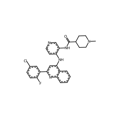 CN1CCC(C(=O)Nc2cnccc2Nc2cc(-c3cc(Cl)ccc3F)nc3ccccc23)CC1